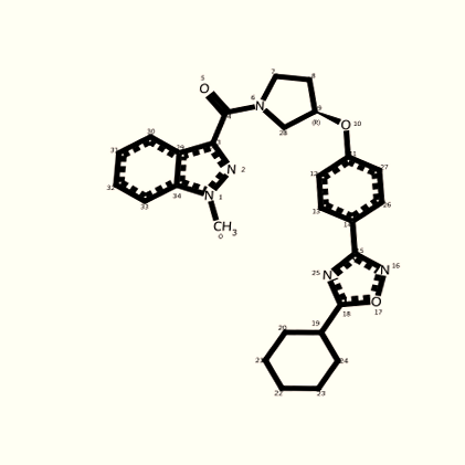 Cn1nc(C(=O)N2CC[C@@H](Oc3ccc(-c4noc(C5CCCCC5)n4)cc3)C2)c2ccccc21